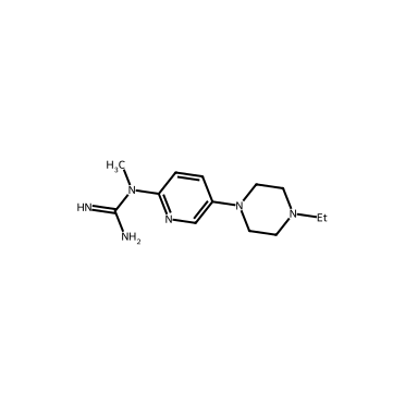 CCN1CCN(c2ccc(N(C)C(=N)N)nc2)CC1